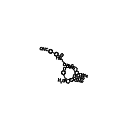 COc1cc2c3cc1Oc1c(OC)c(OC)cc4c1C(Cc1ccc(OCCCNC(=O)c5ccc(-c6ccc(C=O)cc6)cc5)c(c1)Oc1ccc(cc1)CC3N(C)CC2)N(C)CC4